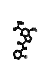 CNC(=O)c1cc(C)n2ccc(C(=O)Nc3ccccc3Cl)c2n1